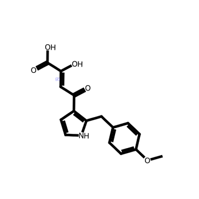 COc1ccc(Cc2[nH]ccc2C(=O)/C=C(\O)C(=O)O)cc1